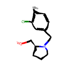 CC(C)(C)c1ccc(CN2CCC[C@H]2CO)cc1Cl